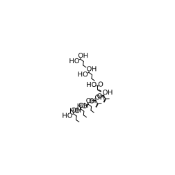 C=C(C)C(=O)O.C=C(C)C(=O)O.C=CC(=O)O.CCCC(O)O.CCCC(O)O.CCCC(O)O.CCCC(O)O.CCCC(O)O